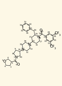 O=C(C1CCOC1)N1CCC(N2CCN(C3CCN(C(=O)c4cc(C(F)(F)F)cc(C(F)(F)F)c4)C(Cc4ccccc4)C3)CC2)C1